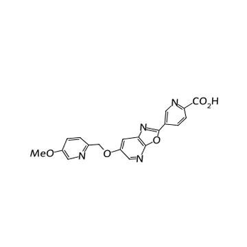 COc1ccc(COc2cnc3oc(-c4ccc(C(=O)O)nc4)nc3c2)nc1